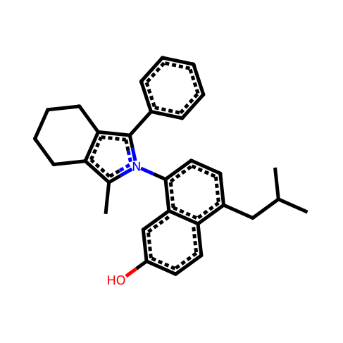 Cc1c2c(c(-c3ccccc3)n1-c1ccc(CC(C)C)c3ccc(O)cc13)CCCC2